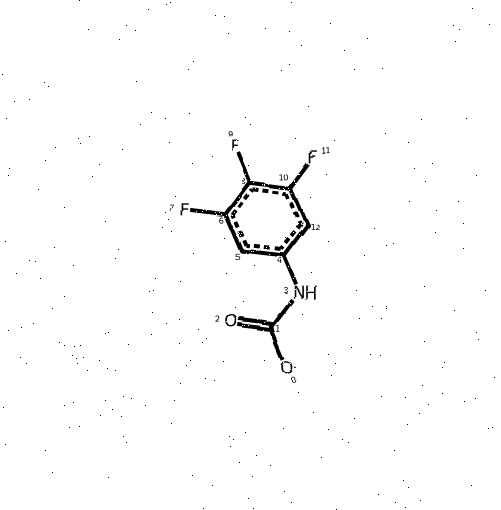 [O]C(=O)Nc1cc(F)c(F)c(F)c1